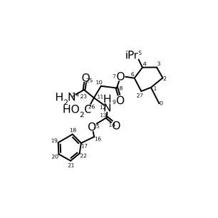 CC1CCC(C(C)C)C(OC(=O)CC(NC(=O)OCc2ccccc2)(C(N)=O)C(=O)O)C1